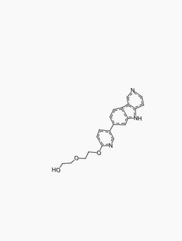 OCCOCCOc1ccc(-c2ccc3c(c2)[nH]c2ccncc23)cn1